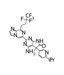 CC(C)c1ccc(C2(C)C(=O)Nc3nc(-c4cn5ccnc5c(CCC(F)(F)C(F)(F)F)n4)nc(N)c32)cn1